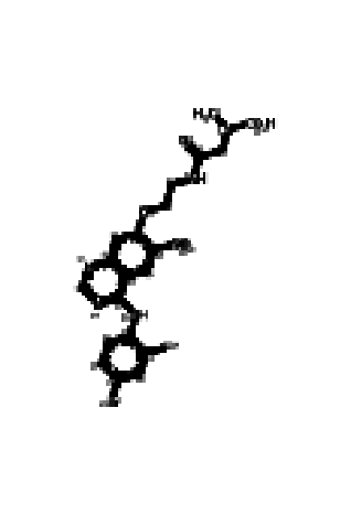 CN(CC(=O)NCCOc1cc2ncnc(Nc3ccc(Br)cc3F)c2cc1[N+](=O)[O-])C(=O)O